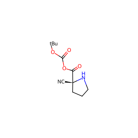 CC(C)(C)OC(=O)OC(=O)[C@@]1(C#N)CCCN1